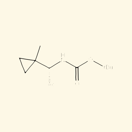 CC(=O)[C@@H](NC(=O)OC(C)(C)C)C1(C)CC1